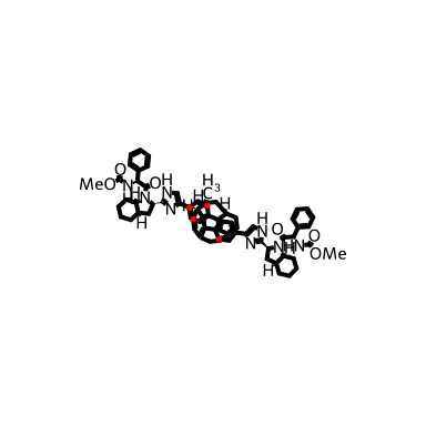 COC(=O)N[C@H](C(=O)N1[C@H](c2nc(-c3ccc(C4=CC5=CC[C@@H]4C[C@@H](C)[C@@H]4C=CC(=C(c6ccc(-c7c[nH]c([C@@H]8C[C@@H]9CCCC[C@@H]9N8C(=O)[C@@H](NC(=O)OC)c8ccccc8)n7)cc6)C4)CC5)cc3)c[nH]2)C[C@@H]2CCCC[C@@H]21)c1ccccc1